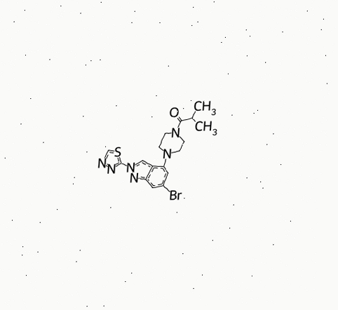 CC(C)C(=O)N1CCN(c2cc(Br)cc3nn(-c4nncs4)cc23)CC1